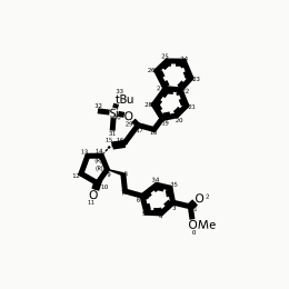 COC(=O)c1ccc(CC[C@H]2C(=O)CC[C@@H]2C=CC(Cc2ccc3ccccc3c2)O[Si](C)(C)C(C)(C)C)cc1